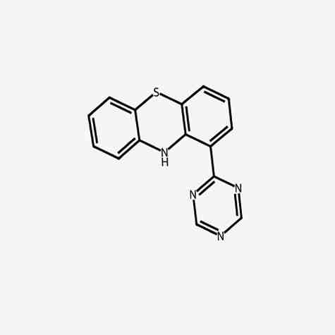 c1ccc2c(c1)Nc1c(cccc1-c1ncncn1)S2